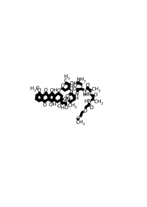 COCCOCC(=O)N[C@@H](C)C(=O)N[C@@H](C)C(=O)N[C@@H](CC(N)=O)C(=O)NC(CC(C)C)C(=O)N[C@H]1C[C@H](O[C@H]2C[C@](O)(C(=O)CO)Cc3c(O)c4c(c(O)c32)C(=O)c2c(OC)cccc2C4=O)O[C@@H](C)[C@H]1O